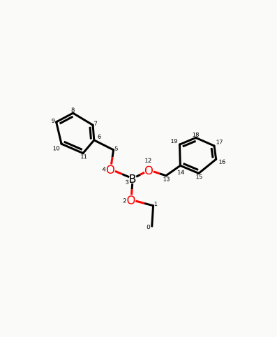 CCOB(OCc1ccccc1)OCc1ccccc1